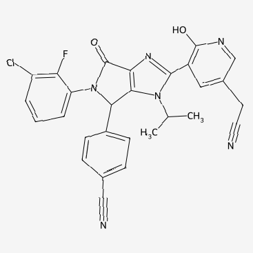 CC(C)n1c(-c2cc(CC#N)cnc2O)nc2c1C(c1ccc(C#N)cc1)N(c1cccc(Cl)c1F)C2=O